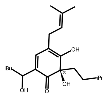 CCC(C)C(O)C1=CC(CC=C(C)C)=C(O)[C@](O)(CCC(C)C)C1=O